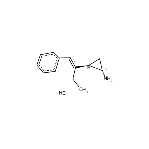 CC/C(=C\c1ccccc1)[C@H]1C[C@@H]1N.Cl